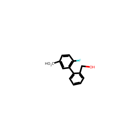 O=C(O)c1ccc(F)c(-c2ccccc2CO)c1